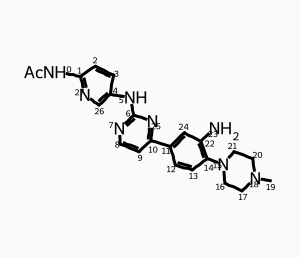 CC(=O)Nc1ccc(Nc2nccc(-c3ccc(N4CCN(C)CC4)c(N)c3)n2)cn1